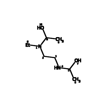 CCN(CCNC(C)O)C(C)O